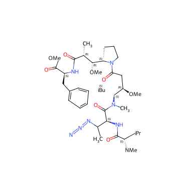 CC[C@H](C)[C@@H]([C@@H](CC(=O)N1CCC[C@H]1[C@H](OC)[C@@H](C)C(=O)N[C@@H](Cc1ccccc1)C(=O)OC)OC)N(C)C(=O)[C@@H](NC(=O)[C@@H](NC)C(C)C)C(C)N=[N+]=[N-]